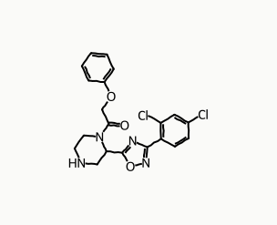 O=C(COc1ccccc1)N1CCNCC1c1nc(-c2ccc(Cl)cc2Cl)no1